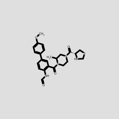 COc1ccc(-c2ccc(NC=O)c(C(=O)N3CCN(C(=O)[C@@H]4CSCN4)CC3C)c2)cc1